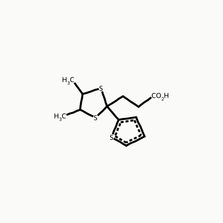 CC1SC(CCC(=O)O)(c2cccs2)SC1C